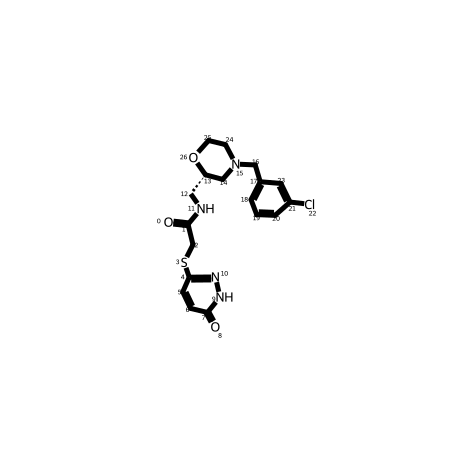 O=C(CSc1ccc(=O)[nH]n1)NC[C@H]1CN(Cc2cccc(Cl)c2)CCO1